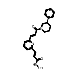 O=C(C=Cc1cccc(C=CC(=O)N2CCC[C@H](c3ccccc3)C2)n1)NO